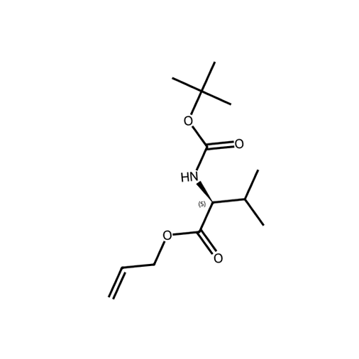 C=CCOC(=O)[C@@H](NC(=O)OC(C)(C)C)C(C)C